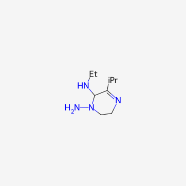 CCNC1C(C(C)C)=NCCN1N